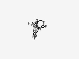 NC(=O)C[C@@H]1NC(=O)CCCCOc2ccc(cc2F)C[C@@H]([C@H](O)CNCc2cccc(C(F)(F)F)c2)NC1=O